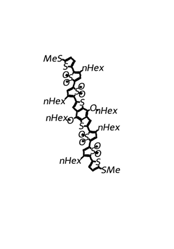 CCCCCCOc1c2cc(C3=C(CCCCCC)C=C(C4=CC(CCCCCC)=C(c5ccc(SC)s5)S4(=O)=O)S3(=O)=O)sc2c(OCCCCCC)c2cc(C3=C(CCCCCC)C=C(C4=CC(CCCCCC)=C(c5ccc(SC)s5)S4(=O)=O)S3(=O)=O)sc12